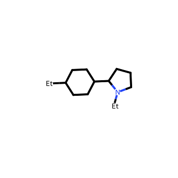 CCC1CCC(C2CCCN2CC)CC1